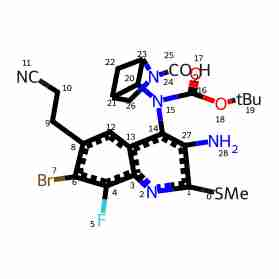 CSc1nc2c(F)c(Br)c(CCC#N)cc2c(N(C(=O)OC(C)(C)C)C2C3CC2N(C(=O)O)C3)c1N